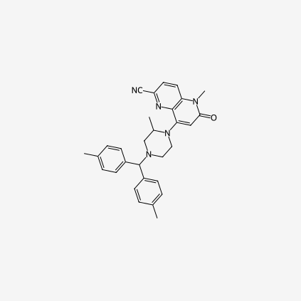 Cc1ccc(C(c2ccc(C)cc2)N2CCN(c3cc(=O)n(C)c4ccc(C#N)nc34)C(C)C2)cc1